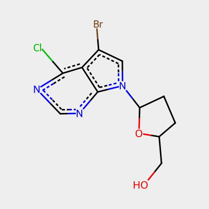 OCC1CCC(n2cc(Br)c3c(Cl)ncnc32)O1